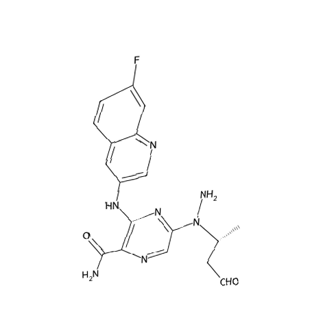 C[C@H](CC=O)N(N)c1cnc(C(N)=O)c(Nc2cnc3cc(F)ccc3c2)n1